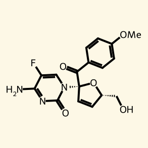 COc1ccc(C(=O)[C@]2(n3cc(F)c(N)nc3=O)C=C[C@@H](CO)O2)cc1